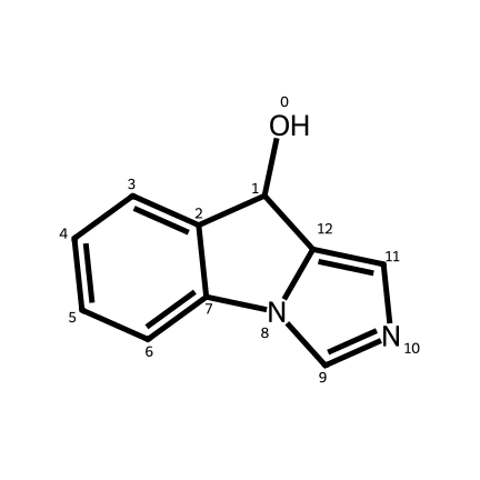 OC1c2ccccc2-n2cncc21